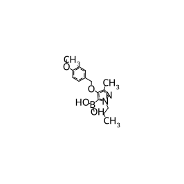 CCCn1nc(C)c(OCc2ccc(OC)cc2)c1B(O)O